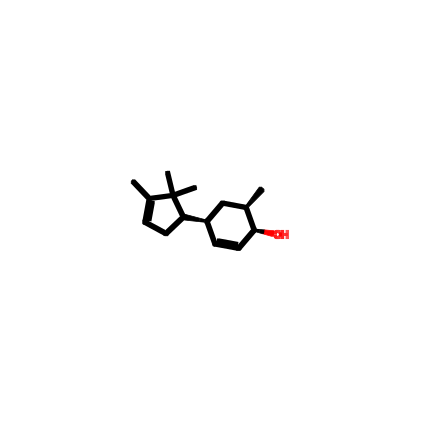 CC1=CCC([C@@H]2C=C[C@H](O)[C@H](C)C2)C1(C)C